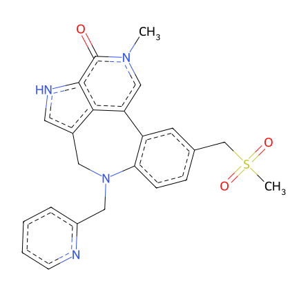 Cn1cc2c3c(c[nH]c3c1=O)CN(Cc1ccccn1)c1ccc(CS(C)(=O)=O)cc1-2